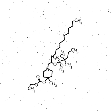 CCCCCCCCCCCCC(CN1CCC(C)(OC(=O)OCC)CC1)O[Si](C)(C)C(C)(C)CCC